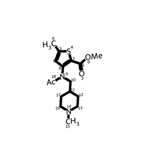 COC(=O)c1sc(C)cc1N(CC1CCN(C)CC1)C(C)=O